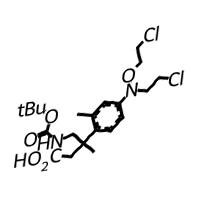 Cc1cc(N(CCCl)OCCCl)ccc1C(C)(CNC(=O)OC(C)(C)C)CC(=O)O